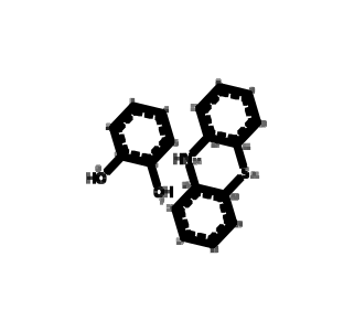 Oc1ccccc1O.c1ccc2c(c1)Nc1ccccc1S2